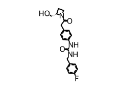 O=C(NCc1ccc(F)cc1)Nc1ccc(CC(=O)N2CC[C@H]2CO)cc1